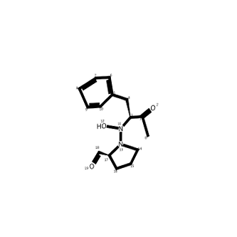 CC(=O)[C@H](Cc1ccccc1)N(O)N1CCC[C@H]1C=O